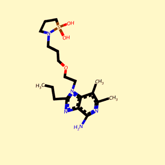 CCCc1nc2c(N)nc(C)c(C)c2n1CCOCCCN1CCCS1(O)O